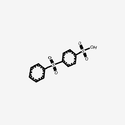 O=S(=O)(O)c1ccc(S(=O)(=O)c2ccccc2)cc1